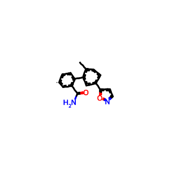 Cc1ccc(-c2ccno2)cc1-c1cc[c]cc1C(N)=O